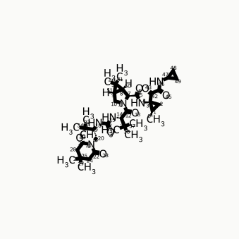 C[C@@H]1C[C@@]1(NC(=O)[C@@H]1[C@@H]2[C@H](CN1C(=O)[C@@H](NC(=O)N[C@H](CN1C(=O)CC(C)(C)CC1=O)C(C)(C)C)C(C)(C)C)C2(C)C)C(=O)C(=O)NC1CC1